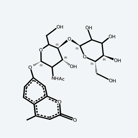 CC(=O)NC1[C@H](Oc2ccc3c(C)cc(=O)oc3c2)OC(CO)[C@@H](O[C@@H]2O[C@@H](CO)[C@H](O)C(O)C2O)[C@@H]1O